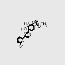 COC(=O)[C@@H]1CC[C@@](O)(c2ncc(-c3cccc(Br)n3)s2)CC1(C)C